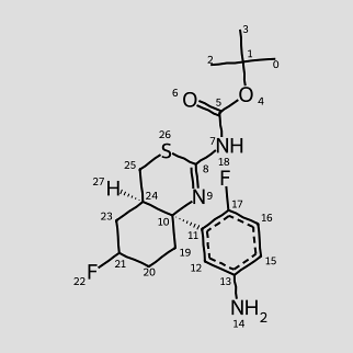 CC(C)(C)OC(=O)NC1=N[C@@]2(c3cc(N)ccc3F)CCC(F)C[C@H]2CS1